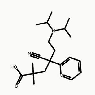 CC(C)N(CCC(C#N)(CC(C)(C)C(=O)O)c1ccccn1)C(C)C